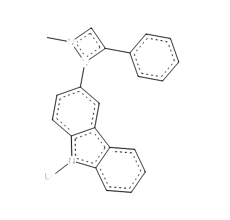 CCn1c2ccccc2c2cc(-n3c(-c4ccccc4)cn3C)ccc21